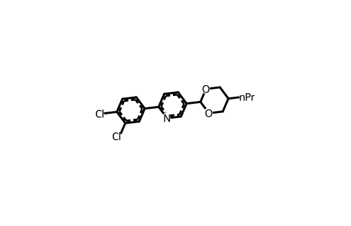 CCCC1COC(c2ccc(-c3ccc(Cl)c(Cl)c3)nc2)OC1